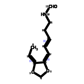 C/C=C1/OCO/C1=C/C=C/CCNC=O